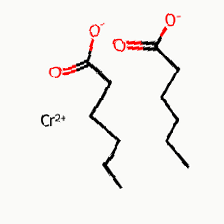 CCCCCC(=O)[O-].CCCCCC(=O)[O-].[Cr+2]